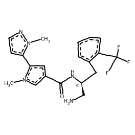 Cn1cc(C(=O)N[C@H](CN)Cc2ccccc2C(F)(F)F)cc1-c1ccnn1C